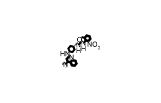 Cc1cccc([N+](=O)[O-])c1NC(=O)NC[C@H]1CC[C@@H](Nc2cc(N(C)C)c3ccccc3n2)CC1